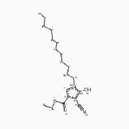 CCCCCCCCCCCCn1cc(C(=O)OCC)c(C#N)c1O